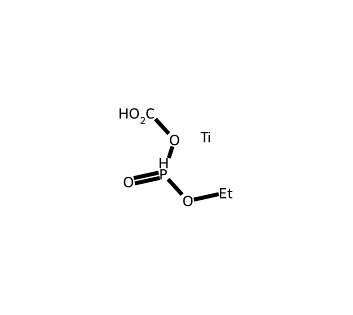 CCO[PH](=O)OC(=O)O.[Ti]